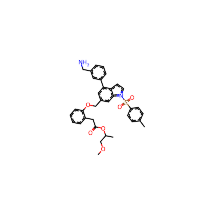 COCC(C)OC(=O)Cc1ccccc1OCc1cc(-c2cccc(CN)c2)c2ccn(S(=O)(=O)c3ccc(C)cc3)c2c1